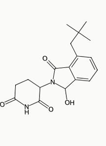 CC(C)(C)Cc1cccc2c1C(=O)N(C1CCC(=O)NC1=O)C2O